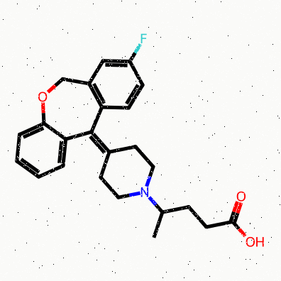 CC(CCC(=O)O)N1CCC(=C2c3ccc(F)cc3COc3ccccc32)CC1